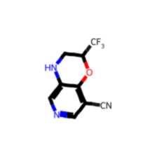 N#Cc1cncc2c1OC(C(F)(F)F)CN2